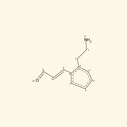 NCCc1ccccc1C=C[C]=O